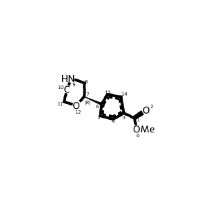 COC(=O)c1ccc([C@@H]2CNCCO2)cc1